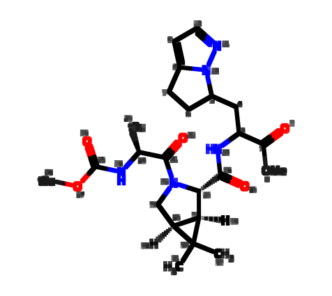 COC(=O)C(CC1CCc2ccnn21)NC(=O)[C@@H]1[C@@H]2[C@H](CN1C(=O)[C@@H](NC(=O)OC(C)(C)C)C(C)(C)C)C2(C)C